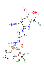 N#Cc1cc(C(=O)O)c(C(F)F)nc1N1CC(C(=O)NS(=O)(=O)c2ccccc2OC(F)(F)F)C1